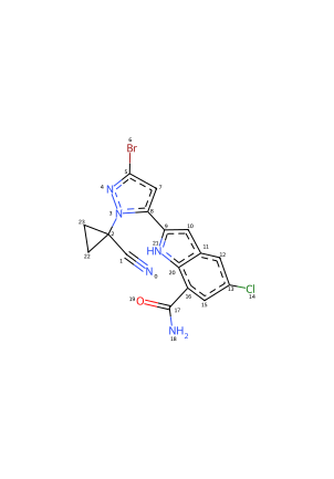 N#CC1(n2nc(Br)cc2-c2cc3cc(Cl)cc(C(N)=O)c3[nH]2)CC1